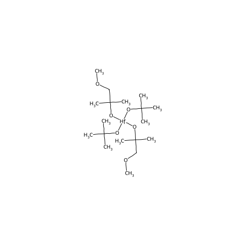 COCC(C)(C)[O][Hf]([O]C(C)(C)C)([O]C(C)(C)C)[O]C(C)(C)COC